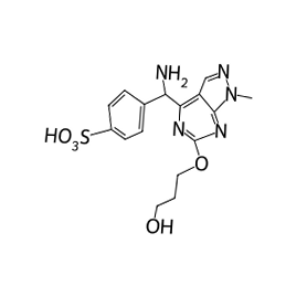 Cn1ncc2c(C(N)c3ccc(S(=O)(=O)O)cc3)nc(OCCCO)nc21